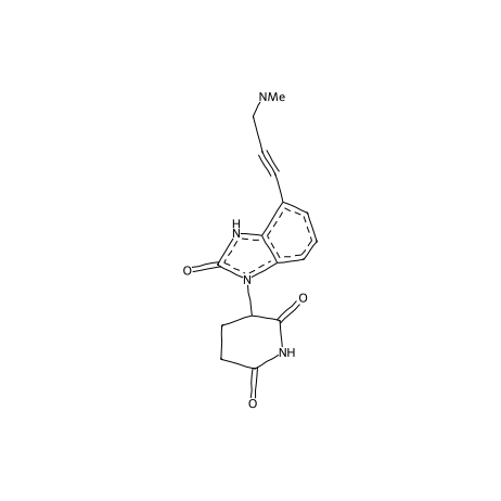 CNCC#Cc1cccc2c1[nH]c(=O)n2C1CCC(=O)NC1=O